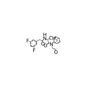 C[C@H](NC(=O)Cc1cc(F)cc(F)c1)C(=O)N(C[C]=O)c1ccccc1